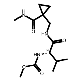 CNC(=O)C1(CNC(=O)[C@@H](NC(=O)OC)C(C)C)CC1